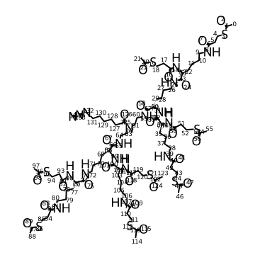 CC(=O)SCCC(=O)NCCCC[C@H](NC(=O)CCSC(C)=O)C(=O)NCCCC[C@H](NC(=O)[C@H](CCCCNC(=O)CCSC(C)=O)NC(=O)CCSC(C)=O)C(=O)NCCN(CCNC(=O)[C@H](CCCCNC(=O)[C@H](CCCCNC(=O)CCSC(C)=O)NC(=O)CCSC(C)=O)NC(=O)[C@H](CCCCNC(=O)CCSC(C)=O)NC(=O)CCSC(C)=O)C(=O)CCCCCN=[N+]=[N-]